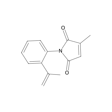 C=C(C)c1ccccc1N1C(=O)C=C(C)C1=O